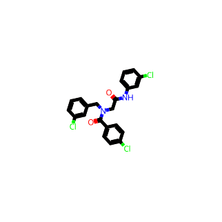 O=C(CN(Cc1cccc(Cl)c1)C(=O)c1ccc(Cl)cc1)Nc1cccc(Cl)c1